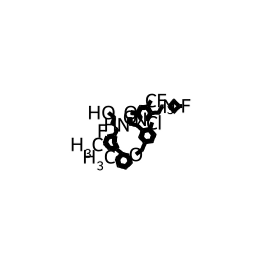 Cc1cc2cc(c1F)[C@@H](CCO)NC(=O)[C@@H](n1cc(CCN3CC(F)C3)c(C(F)(F)F)cc1=O)c1cc(ccc1Cl)COc1cccc(C)c1-2